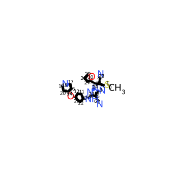 CSc1nc2c(C#N)c(Nc3ccc(Oc4ccncc4)cc3)nn2c(-c2ccco2)c1C#N